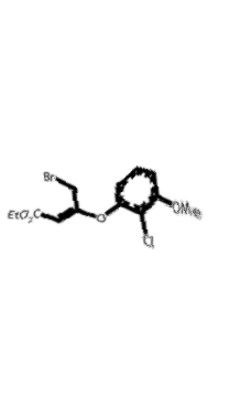 CCOC(=O)C=C(CBr)Oc1cccc(OC)c1Cl